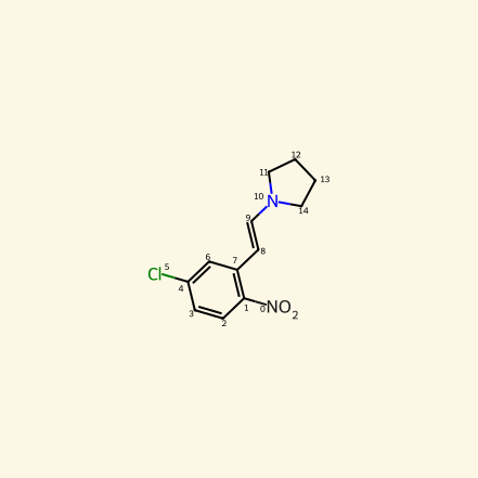 O=[N+]([O-])c1ccc(Cl)cc1C=CN1CCCC1